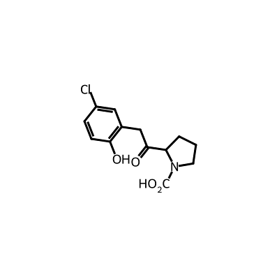 O=C(Cc1cc(Cl)ccc1O)C1CCCN1C(=O)O